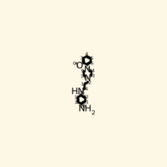 COc1ccccc1N1CCN(CCCNc2ccc(N)cc2)CC1